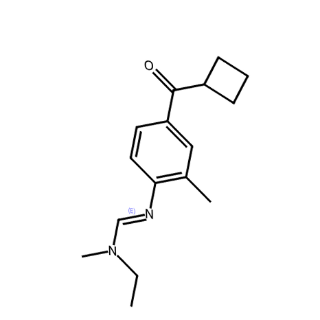 CCN(C)/C=N/c1ccc(C(=O)C2CCC2)cc1C